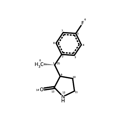 C[C@H](c1ccc(F)cc1)C1CCNC1=O